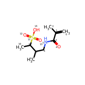 C=C(C)C(=O)NCC(C)C(C)S(=O)(=O)O